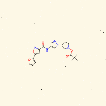 CC(C)(C)C(=O)ON1CCC(n2cc(NC(=O)c3cc(-c4ccco4)on3)cn2)C1